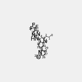 CCCc1cc(Nc2ncc(C(F)(F)F)cn2)c2ccc(-c3nc(OC)ccc3C)cc2n1